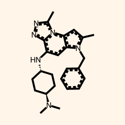 Cc1cc2c(cc(N[C@H]3CC[C@H](N(C)C)CC3)c3nnc(C)n32)n1Cc1ccccc1